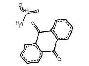 N[SH](=O)=O.O=C1c2ccccc2C(=O)c2ccccc21